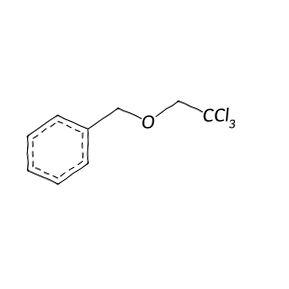 ClC(Cl)(Cl)COCc1ccccc1